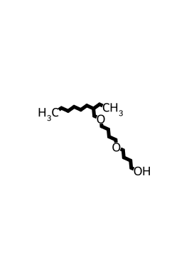 CCCCCCC(CC)COCCCCOCCCCO